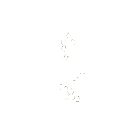 Cc1ncsc1-c1ccc([C@H](C)NC(=O)[C@@H]2C[C@@H](O)CN2C(=O)[C@@H](NC(=O)COCCOCCOCCN(C)C(=O)CCNc2nc(N3CCNCC3)c3cc(Cl)c(-c4c(O)cccc4F)c(F)c3n2)C(C)(C)C)cc1